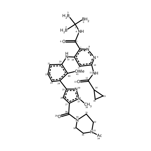 BC(B)(B)NC(=O)c1nnc(NC(=O)C2CC2)cc1Nc1cccc(-c2cc(C(=O)N3CCN(C(C)=O)CC3)n(C)n2)c1OC